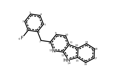 Fc1ccccc1Cc1ccc2c(n1)[nH]c1ccccc12